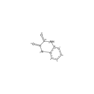 O=C1[N]c2ccccc2NC1=O